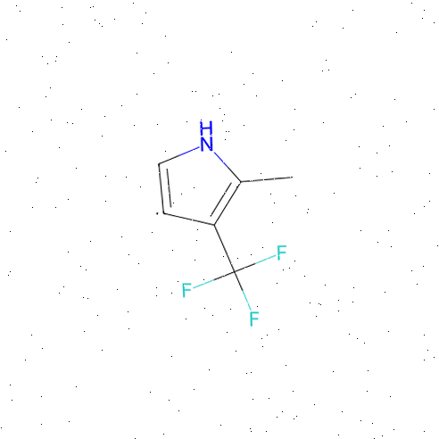 Cc1[nH]c[c]c1C(F)(F)F